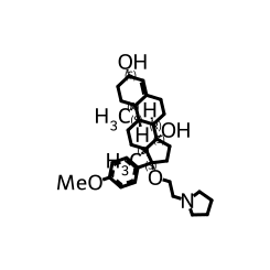 COc1ccc([C@@]2(OCCN3CCCC3)CC[C@]3(O)[C@@H]4CCC5=C[C@@H](O)CC[C@]5(C)[C@H]4CC[C@]23C)cc1